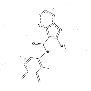 C=C/C=C\C(NC(=O)c1c(N)oc2cccnc12)=C(\C)C=C